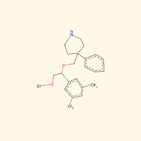 CCOCC(OCC1(c2ccccc2)CCNCC1)c1cc(C(F)(F)F)cc(C(F)(F)F)c1